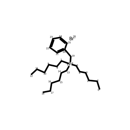 CCCCCC[P+](CCCCCC)(CCCCCC)Cc1ccccc1.[Br-]